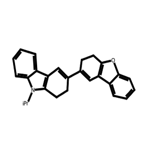 CC(C)n1c2c(c3ccccc31)C=C(C1=Cc3c(oc4ccccc34)CC1)CC2